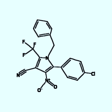 N#Cc1c([N+](=O)[O-])c(-c2ccc(Cl)cc2)n(Cc2ccccc2)c1C(F)(F)F